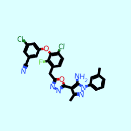 Cc1cccc(-n2nc(C)c(-c3nnc(Cc4ccc(Cl)c(Oc5cc(Cl)cc(C#N)c5)c4F)o3)c2N)c1